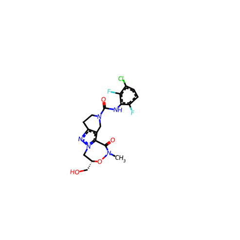 CN1O[C@H](CO)Cn2nc3c(c2C1=O)CN(C(=O)Nc1c(F)ccc(Cl)c1F)CC3